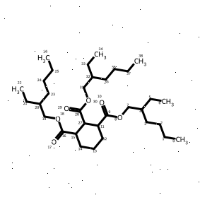 CCCCC(CC)COC(=O)C1CCCC(C(=O)OCC(CC)CCCC)C1C(=O)OCC(CC)CCCC